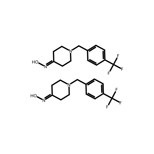 ON=C1CCN(Cc2ccc(C(F)(F)F)cc2)CC1.ON=C1CCN(Cc2ccc(C(F)(F)F)cc2)CC1